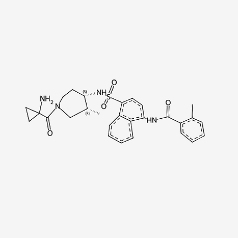 Cc1ccccc1C(=O)Nc1ccc(S(=O)(=O)N[C@H]2CCN(C(=O)C3(N)CC3)C[C@H]2C)c2ccccc12